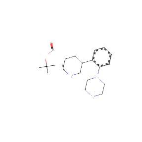 CC(C)(C)OC=O.c1ccc(N2CCNCC2)c(C2CCCNC2)c1